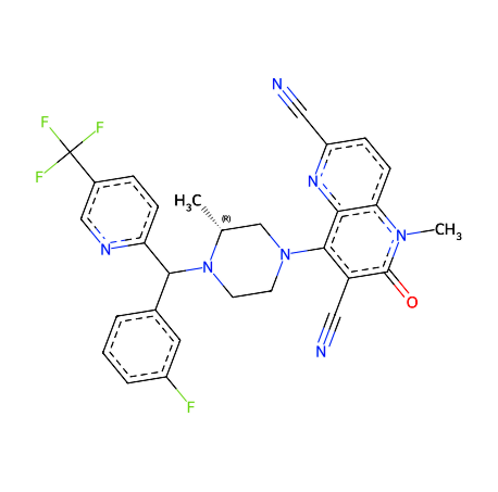 C[C@@H]1CN(c2c(C#N)c(=O)n(C)c3ccc(C#N)nc23)CCN1C(c1cccc(F)c1)c1ccc(C(F)(F)F)cn1